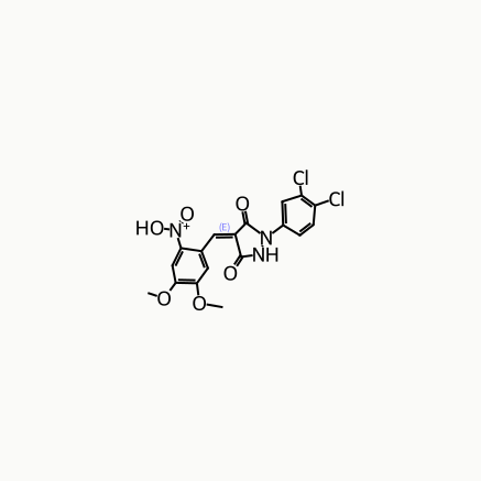 COc1cc(/C=C2\C(=O)NN(c3ccc(Cl)c(Cl)c3)C2=O)c([N+](=O)O)cc1OC